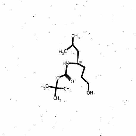 CC(C)C[C@@H](CCCO)NC(=O)OC(C)(C)C